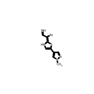 CC(=O)/C(C=N)=C1/NC=C(c2cnn(C)c2)S1